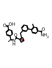 Cc1cc(C(N)=O)ccc1-c1cccc(CN2CC3CC2(C(=O)N[C@@H](C)c2ccc(C(=O)O)cc2)C3)c1